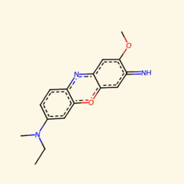 CCN(C)c1ccc2nc3cc(OC)c(=N)cc-3oc2c1